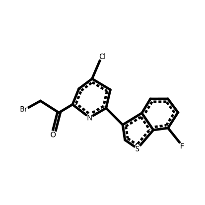 O=C(CBr)c1cc(Cl)cc(-c2csc3c(F)cccc23)n1